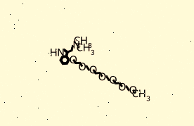 COCCOCCOCCOCCOCCOCCOc1cccc2[nH]cc(CCN(C)C)c12